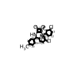 Cc1ccc(C(Nc2c(NC3=CC=CC(Cl)C3C)c(=O)c2=O)c2ccc(Cl)cn2)cc1